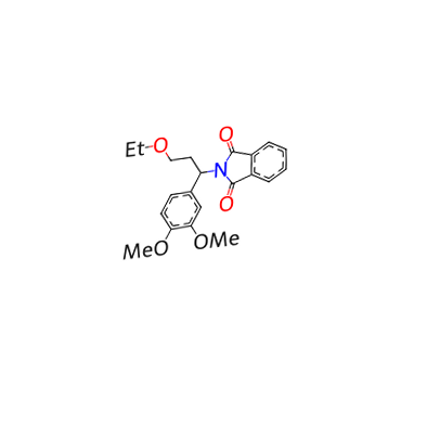 CCOCCC(c1ccc(OC)c(OC)c1)N1C(=O)c2ccccc2C1=O